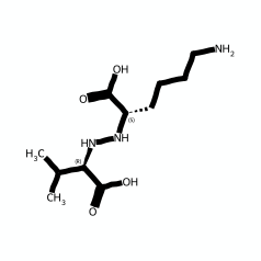 CC(C)[C@@H](NN[C@@H](CCCCN)C(=O)O)C(=O)O